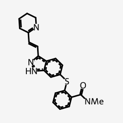 CNC(=O)c1ccccc1Sc1ccc2c(/C=C/C3=NCCC=C3)n[nH]c2c1